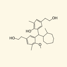 COc1c(C)cc(CCO)cc1C(c1cc(CCO)cc(C)c1O)C1CCCCCC1C